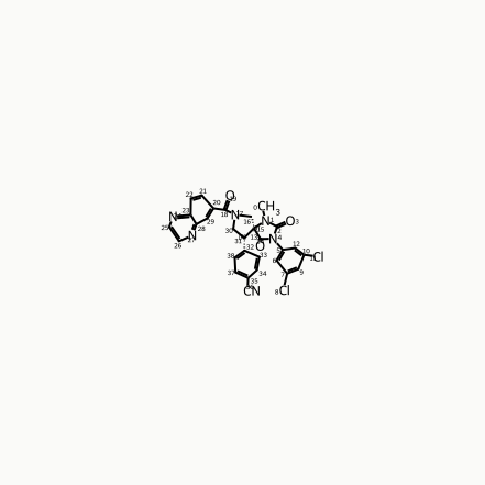 CN1C(=O)N(c2cc(Cl)cc(Cl)c2)C(=O)[C@]12CN(C(=O)c1ccc3nccnc3c1)C[C@H]2c1ccc(C#N)cc1